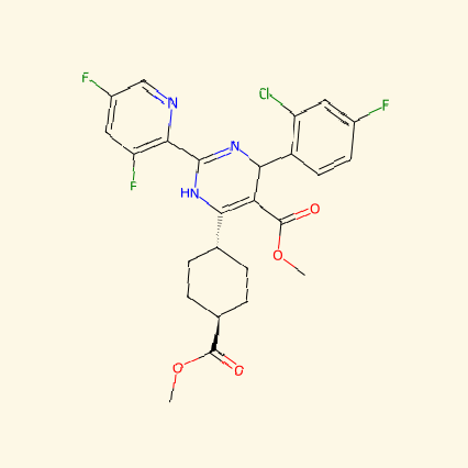 COC(=O)C1=C([C@H]2CC[C@H](C(=O)OC)CC2)NC(c2ncc(F)cc2F)=NC1c1ccc(F)cc1Cl